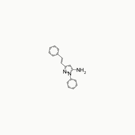 Nc1cc(/C=C/c2ccccc2)nn1-c1ccccc1